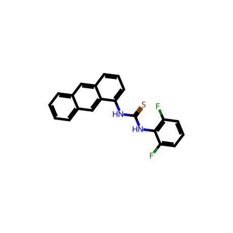 Fc1cccc(F)c1NC(=S)Nc1cccc2cc3ccccc3cc12